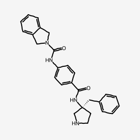 O=C(N[C@@]1(Cc2ccccc2)CCNC1)c1ccc(NC(=O)N2Cc3ccccc3C2)cc1